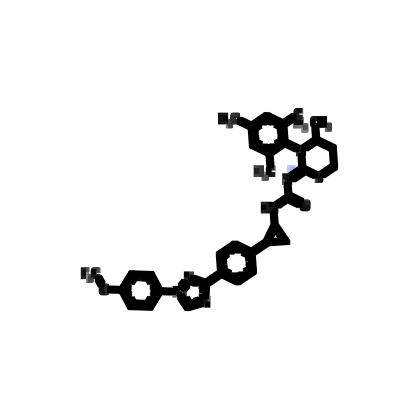 Cc1cc(C)c(N2/C(=N/C(=O)NC3CC3c3ccc(-c4ncn(-c5ccc(OC(F)(F)F)cc5)n4)cc3)SCCC2C)c(C)c1